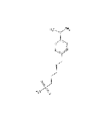 CN(C)c1ccc(CSCCCS(N)(=O)=O)cc1